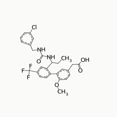 CCC(NC(=O)NCc1cccc(Cl)c1)c1cc(C(F)(F)F)ccc1-c1cc(CC(=O)O)ccc1OC